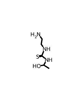 CC(O)NC(=S)NCCN